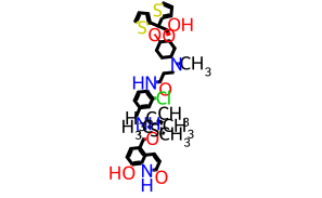 CN(CCC(=O)Nc1ccc(CNC[C@H](O[Si](C)(C)C(C)(C)C)c2ccc(O)c3[nH]c(=O)ccc23)cc1Cl)[C@H]1CC[C@H](OC(C(=O)O)(c2cccs2)c2cccs2)CC1